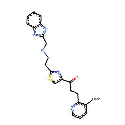 COc1cccnc1CCC(=O)c1csc(CCNCc2nc3ccccc3[nH]2)n1